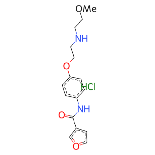 COCCNCCOc1ccc(NC(=O)c2ccoc2)cc1.Cl